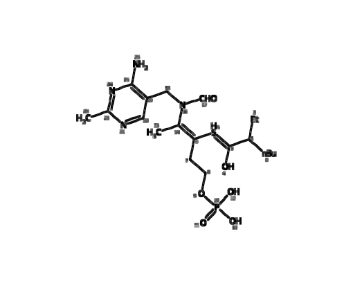 CCCCC(CC)/C(O)=[SH]/C(CCOP(=O)(O)O)=C(/C)N(C=O)Cc1cnc(C)nc1N